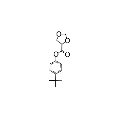 CC(C)(C)c1ccc(OC(=O)C2COCO2)cc1